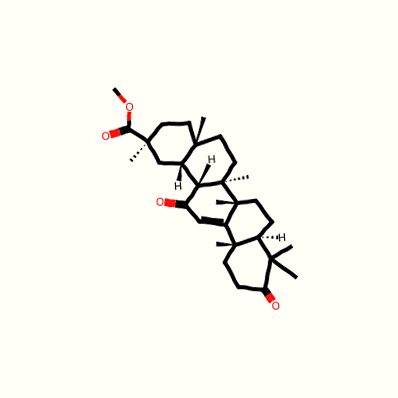 COC(=O)[C@@]1(C)CC[C@]2(C)CC[C@]3(C)[C@H](C(=O)C=C4[C@@]5(C)CCC(=O)C(C)(C)[C@@H]5CC[C@]43C)[C@@H]2C1